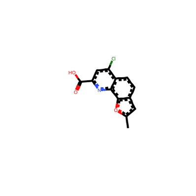 Cc1cc2ccc3c(Cl)cc(C(=O)O)nc3c2o1